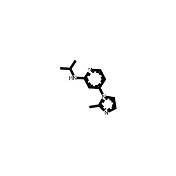 Cc1nccn1-c1ccnc(NC(C)C)c1